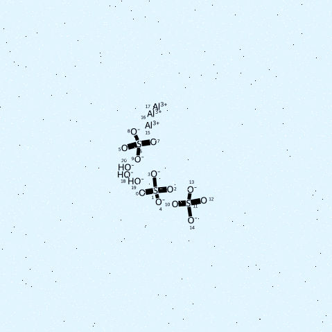 O=S(=O)([O-])[O-].O=S(=O)([O-])[O-].O=S(=O)([O-])[O-].[Al+3].[Al+3].[Al+3].[OH-].[OH-].[OH-]